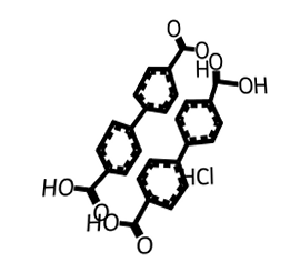 Cl.O=C(O)c1ccc(-c2ccc(C(=O)O)cc2)cc1.O=C(O)c1ccc(-c2ccc(C(=O)O)cc2)cc1